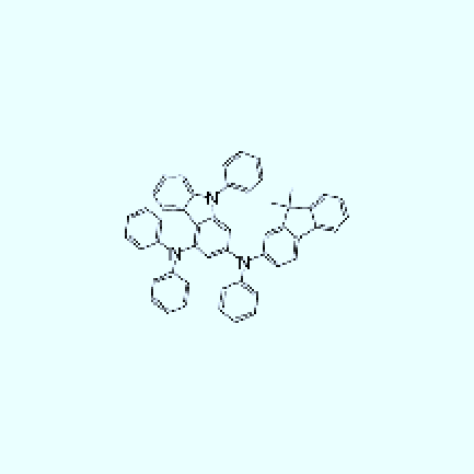 CC1(C)c2ccccc2-c2ccc(N(c3ccccc3)c3cc(N(c4ccccc4)c4ccccc4)c4c5ccccc5n(-c5ccccc5)c4c3)cc21